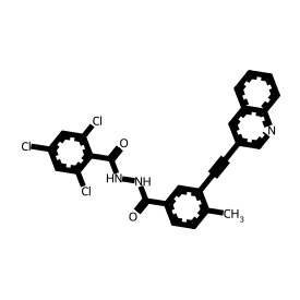 Cc1ccc(C(=O)NNC(=O)c2c(Cl)cc(Cl)cc2Cl)cc1C#Cc1cnc2ccccc2c1